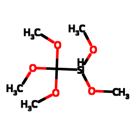 CO[SiH](OC)C(OC)(OC)OC